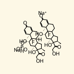 C[C@@H]1CC2C3CCC4=CC(=O)C=C[C@]4(C)[C@@]3(F)[C@@H](O)C[C@]2(C)[C@@]1(O)C(=O)CO.C[C@@H]1CC2[C@H]3CCC4=CC(=O)C=C[C@]4(C)[C@@]3(F)[C@@H](O)C[C@]2(C)[C@@]1(O)C(=O)CO.O=[PH]([O-])[O-].[Na+].[Na+]